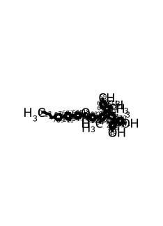 CCCCCC1CCC(c2ccc(-c3ccc(C(=O)Nc4ccc(-c5cc6c7c(c8c(c6cc5C)OC(c5ccc(O)cc5)(c5ccc(O)cc5)C=C8)C(C)(C)c5cc(C)ccc5-7)cc4)cc3)cc2)CC1